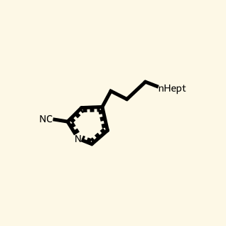 CCCCCCCCCCc1ccnc(C#N)c1